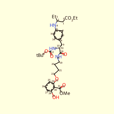 CCOC(=O)CC(CC)Nc1ccc(C[C@H](NC(=O)OC(C)(C)C)C(=O)NCCCCOc2cccc(O)c2C(=O)OC)cc1